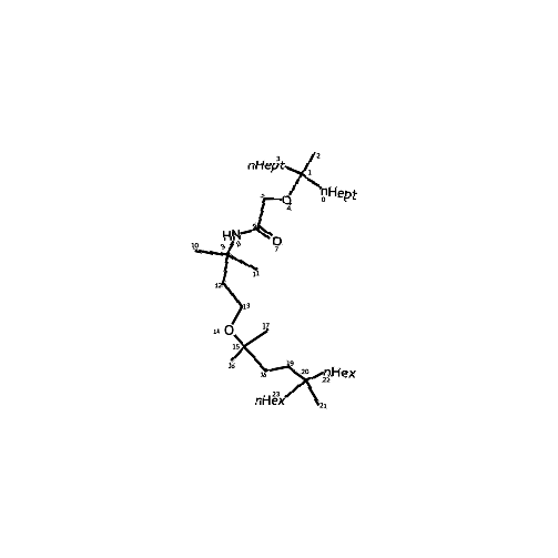 CCCCCCCC(C)(CCCCCCC)OCC(=O)NC(C)(C)CCOC(C)(C)CCC(C)(CCCCCC)CCCCCC